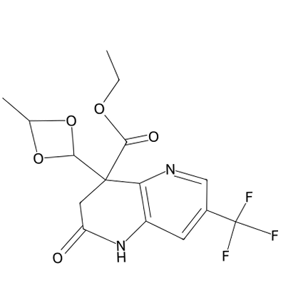 CCOC(=O)C1(C2OC(C)O2)CC(=O)Nc2cc(C(F)(F)F)cnc21